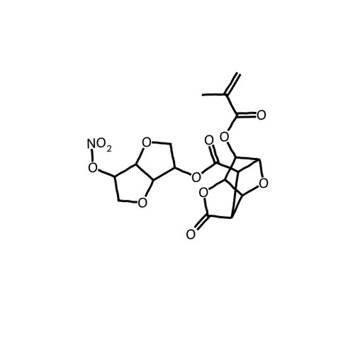 C=C(C)C(=O)OC1C2OC(=O)C3C2OC1C3C(=O)OC1COC2C(O[N+](=O)[O-])COC12